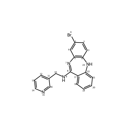 Brc1ccc2c(c1)N=C(NCc1cccnc1)c1ccccc1N2